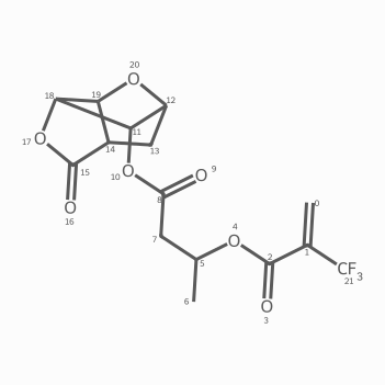 C=C(C(=O)OC(C)CC(=O)OC1C2CC3C(=O)OC1C3O2)C(F)(F)F